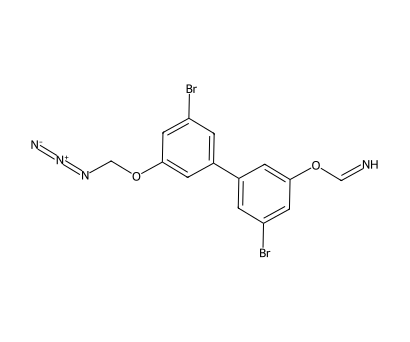 [N-]=[N+]=NCOc1cc(Br)cc(-c2cc(Br)cc(OC=N)c2)c1